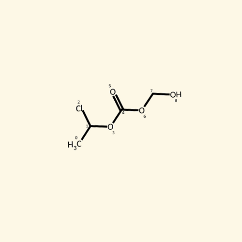 CC(Cl)OC(=O)OCO